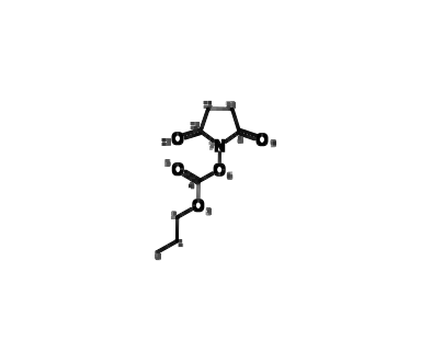 CCCOC(=O)ON1C(=O)CCC1=O